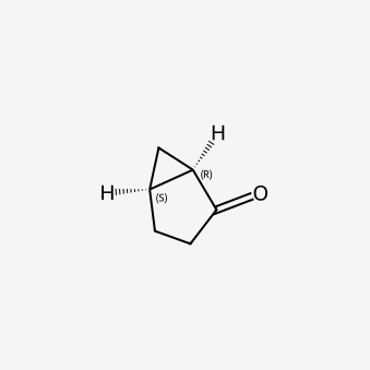 O=C1CC[C@H]2C[C@@H]12